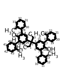 CCC(CC)(c1cc(-c2ccccc2C)c(O)c(-c2ccccc2C)c1)c1cc(-c2ccccc2C)c(O)c(-c2ccccc2C)c1